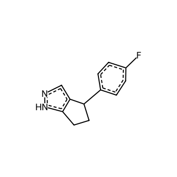 Fc1ccc(C2CCc3[nH]ncc32)cc1